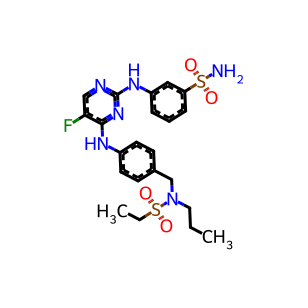 CCCN(Cc1ccc(Nc2nc(Nc3cccc(S(N)(=O)=O)c3)ncc2F)cc1)S(=O)(=O)CC